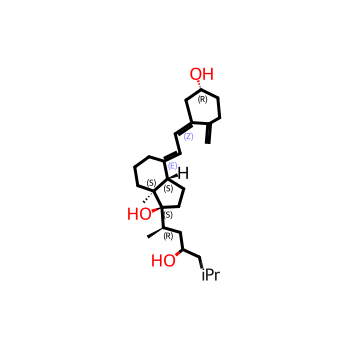 C=C1CC[C@@H](O)C/C1=C/C=C1\CCC[C@@]2(C)[C@H]1CC[C@]2(O)[C@H](C)CC(O)CC(C)C